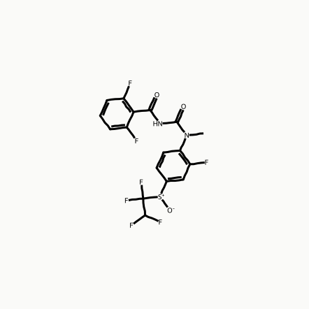 CN(C(=O)NC(=O)c1c(F)cccc1F)c1ccc([S+]([O-])C(F)(F)C(F)F)cc1F